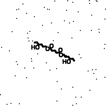 CCC(O)CCCOC(=O)CCCC(=O)OCCCC(O)CC